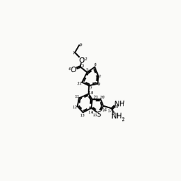 CCOC(=O)c1cccc(-c2cccc3sc(C(=N)N)cc23)c1